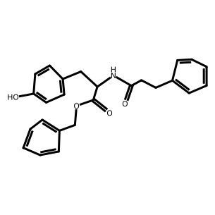 O=C(CCc1ccccc1)NC(Cc1ccc(O)cc1)C(=O)OCc1ccccc1